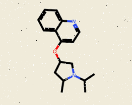 CC(C)N1CC(Oc2ccnc3ccccc23)CC1C